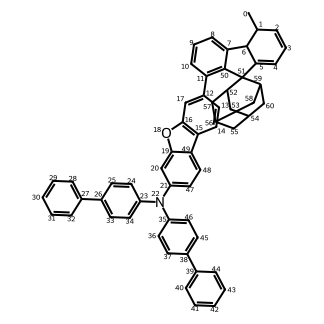 CC1C=CC=C2C1c1cccc(-c3ccc4c(c3)oc3cc(N(c5ccc(-c6ccccc6)cc5)c5ccc(-c6ccccc6)cc5)ccc34)c1C21C2CC3CC(C2)CC1C3